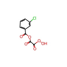 O=C(OO)C(=O)OC(=O)c1cccc(Cl)c1